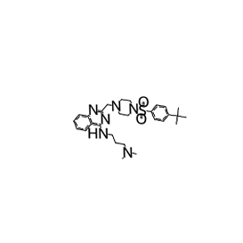 CN(C)CCCNc1nc(CN2CCN(S(=O)(=O)c3ccc(C(C)(C)C)cc3)CC2)nc2ccccc12